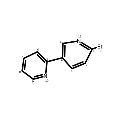 CCc1ccc(-c2ccccn2)cn1